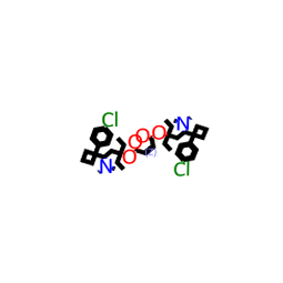 CCC(CC)(CC(N(C)C)C1(c2ccc(Cl)cc2)CCC1)OC(=O)/C=C\C(=O)OC(CC)(CC)CC(N(C)C)C1(c2ccc(Cl)cc2)CCC1